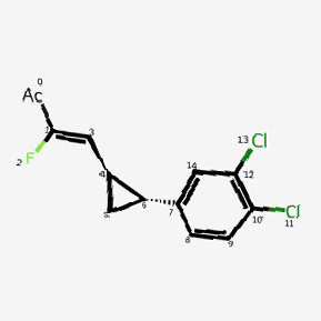 CC(=O)/C(F)=C/[C@@H]1C[C@H]1c1ccc(Cl)c(Cl)c1